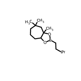 CC(C)CCB1OC2CCCC(C)(C)CC2(C)O1